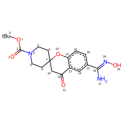 CC(C)(C)OC(=O)N1CCC2(CC1)CC(=O)c1cc(/C(N)=N/O)ccc1O2